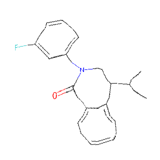 CC(C)C1CN(c2cccc(F)c2)C(=O)c2ccccc21